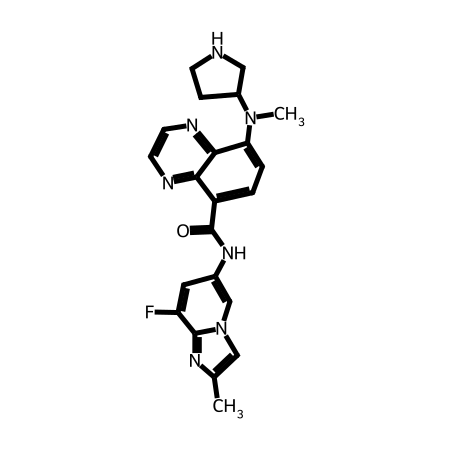 Cc1cn2cc(NC(=O)c3ccc(N(C)C4CCNC4)c4nccnc34)cc(F)c2n1